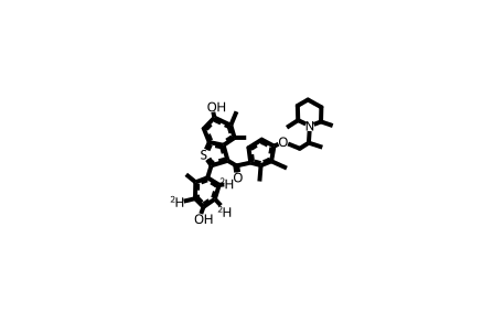 [2H]c1c([2H])c(-c2sc3cc(O)c(C)c(C)c3c2C(=O)c2ccc(OCC(C)N3C(C)CCCC3C)c(C)c2C)c(C)c([2H])c1O